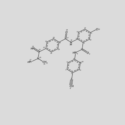 C#Cc1ccc(NC(=O)c2cc(Cl)ccc2NC(=O)c2ccc(C(=N)N(C)CCC)cc2)nc1